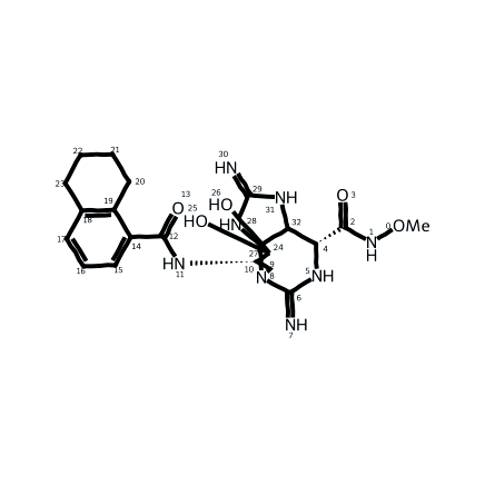 CONC(=O)[C@@H]1NC(=N)N2C[C@H](NC(=O)c3cccc4c3CCCC4)C(O)(O)C23NC(=N)NC13